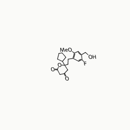 COc1cc(CO)c(F)cc1CCC1(C2CCCC2)CC(=O)CC(=O)O1